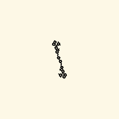 Cc1cc(C)cc(N(c2ccc3c(c2)C(C)(C)c2cc(/C=C/c4ccc(-c5ccc(/C=C/c6ccc7c(c6)C(C)(C)c6cc(N(c8cc(C)cc(C)c8)c8cccc9ccccc89)ccc6-7)cc5)cc4)ccc2-3)c2cccc3ccccc23)c1